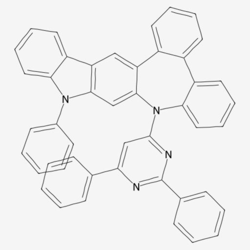 c1ccc(-c2cc(N3c4ccccc4-c4ccccc4-c4cc5c6ccccc6n(-c6ccccc6)c5cc43)nc(-c3ccccc3)n2)cc1